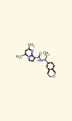 CCC(NC(=O)c1ccn2c(C)cc(C)nc12)c1ccc2c(c1)=CCOC=2